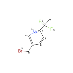 CC(F)(F)c1ccc(CBr)cn1